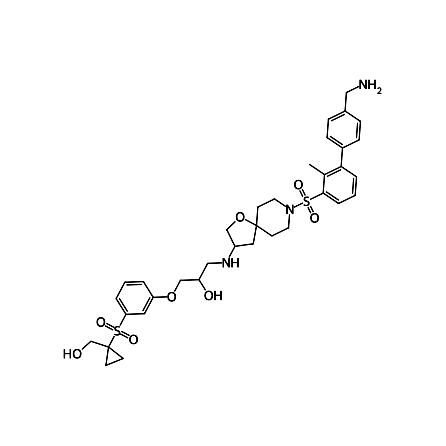 Cc1c(-c2ccc(CN)cc2)cccc1S(=O)(=O)N1CCC2(CC1)CC(NCC(O)COc1cccc(S(=O)(=O)C3(CO)CC3)c1)CO2